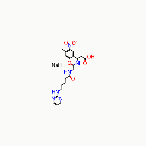 Cc1ccc(C(CC(=O)O)NC(=O)CNC(=O)CCCCNc2ncccn2)cc1[N+](=O)[O-].[NaH]